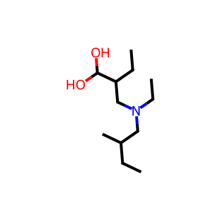 CCC(C)CN(CC)CC(CC)C(O)O